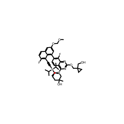 COCOc1cc(-c2ccc3c(N4CCCC(C)(O)C4)nc(OCC4(CO)CC4)nc3c2F)c2c(C#C[Si](C(C)C)(C(C)C)C(C)C)c(F)ccc2c1